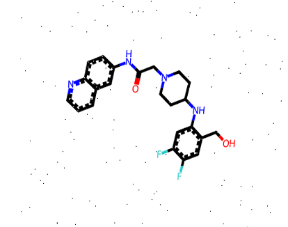 O=C(CN1CCC(Nc2cc(F)c(F)cc2CO)CC1)Nc1ccc2ncccc2c1